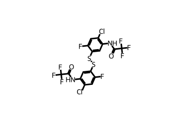 O=C(Nc1cc(SSc2cc(NC(=O)C(F)(F)F)c(Cl)cc2F)c(F)cc1Cl)C(F)(F)F